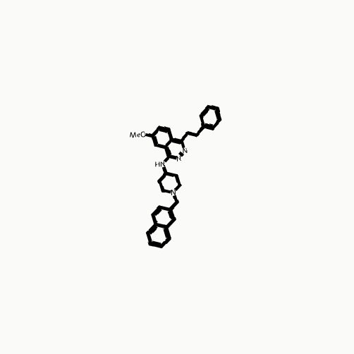 COc1ccc2c(CCc3ccccc3)nnc(NC3CCN(Cc4ccc5ccccc5c4)CC3)c2c1